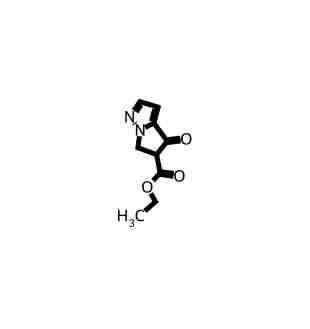 CCOC(=O)C1Cn2nccc2C1=O